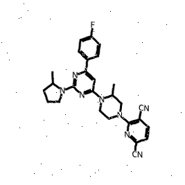 CC1CN(c2nc(C#N)ccc2C#N)CCN1c1cc(-c2ccc(F)cc2)nc(N2CCCC2C)n1